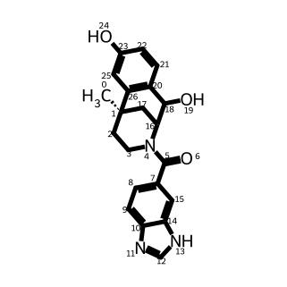 C[C@@]12CCN(C(=O)c3ccc4nc[nH]c4c3)C(C1)C(O)c1ccc(O)cc12